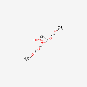 CC(=O)O.CCOCCOCCOCCOCCOCC